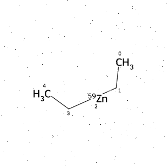 C[CH2][59Zn][CH2]C